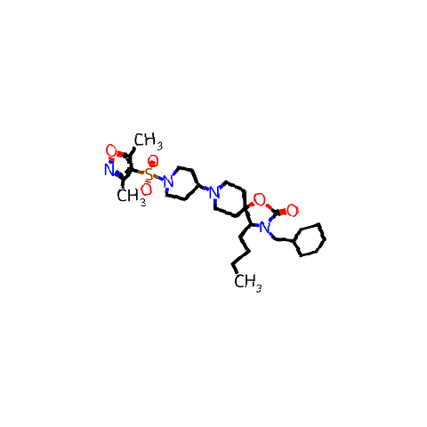 CCCCC1N(CC2CCCCC2)C(=O)OC12CCN(C1CCN(S(=O)(=O)c3c(C)noc3C)CC1)CC2